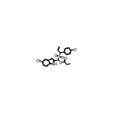 C=CC(c1ccc(Cl)cc1)S(=O)(=O)C(OC(=O)CC)c1cc2cc(Cl)ccc2[nH]1